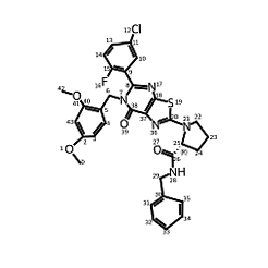 COc1ccc(Cn2c(-c3cc(Cl)ccc3F)nc3sc(N4CCC[C@@H]4C(=O)NCc4ccccc4)nc3c2=O)c(OC)c1